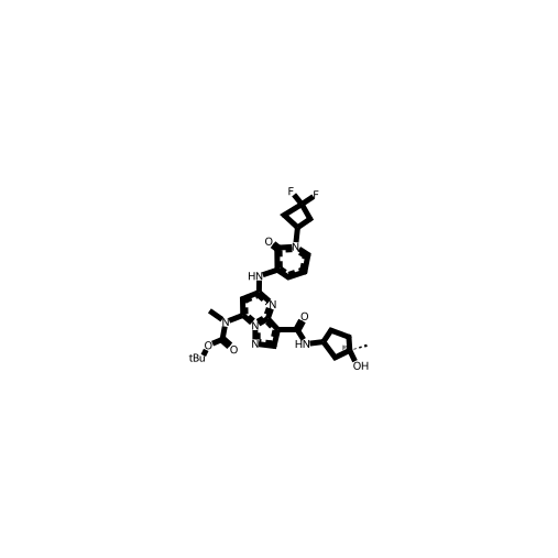 CN(C(=O)OC(C)(C)C)c1cc(Nc2cccn(C3CC(F)(F)C3)c2=O)nc2c(C(=O)NC3CC[C@@](C)(O)C3)cnn12